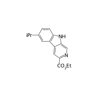 CCOC(=O)c1cc2c(cn1)[nH]c1ccc(C(C)C)cc12